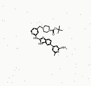 Cc1cc(-c2ccc3nc(Nc4cc(CN5CCN(C(=O)OC(C)(C)C)CC5)ccn4)[nH]c3c2)cc(N)n1